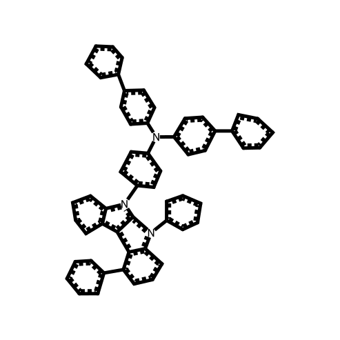 c1ccc(-c2ccc(N(c3ccc(-c4ccccc4)cc3)c3ccc(-n4c5ccccc5c5c6c(-c7ccccc7)cccc6n(-c6ccccc6)c54)cc3)cc2)cc1